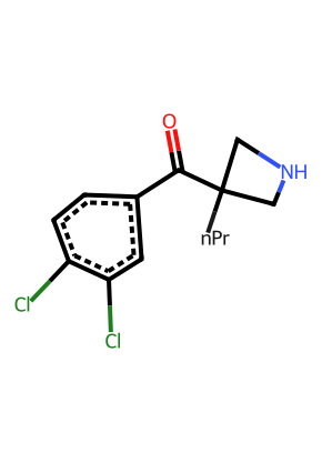 CCCC1(C(=O)c2ccc(Cl)c(Cl)c2)CNC1